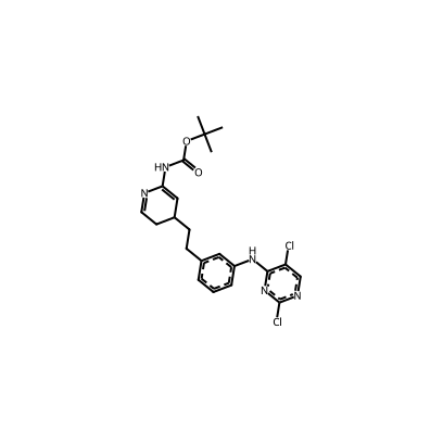 CC(C)(C)OC(=O)NC1=CC(CCc2cccc(Nc3nc(Cl)ncc3Cl)c2)CC=N1